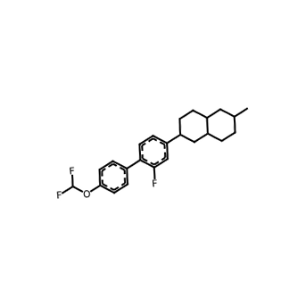 CC1CCC2CC(c3ccc(-c4ccc(OC(F)F)cc4)c(F)c3)CCC2C1